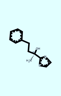 N[C@@](O)(CCc1ccccc1)c1nccs1